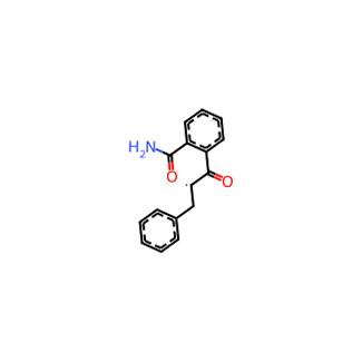 NC(=O)c1ccccc1C(=O)[CH]Cc1ccccc1